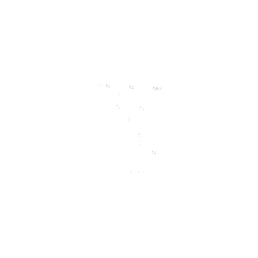 CCCCCCCCCCCc1nccn1C(C)c1nc(N)nc(N)n1